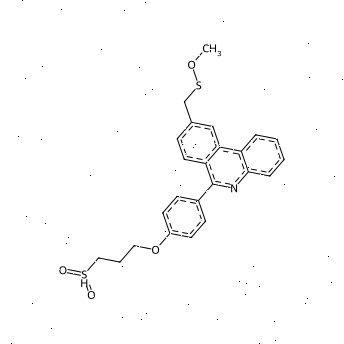 COSCc1ccc2c(-c3ccc(OCCC[SH](=O)=O)cc3)nc3ccccc3c2c1